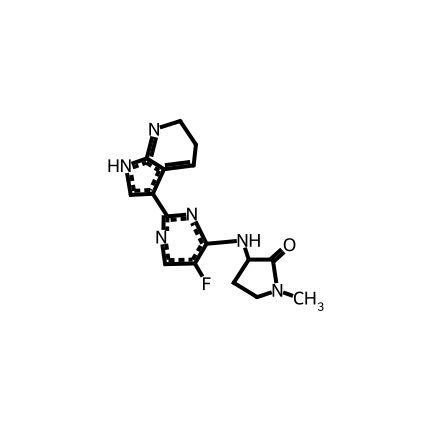 CN1CCC(Nc2nc(-c3c[nH]c4c3=CCCN=4)ncc2F)C1=O